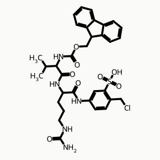 CC(C)C(NC(=O)OCC1c2ccccc2-c2ccccc21)C(=O)NC(CCCNC(N)=O)C(=O)Nc1ccc(CCl)c(S(=O)(=O)O)c1